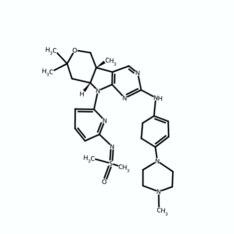 CN1CCN(C2=CC=C(Nc3ncc4c(n3)N(c3cccc(N=S(C)(C)=O)n3)[C@@H]3CC(C)(C)OC[C@]43C)CC2)CC1